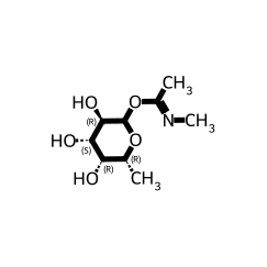 CN=C(C)OC1O[C@H](C)[C@H](O)[C@H](O)[C@H]1O